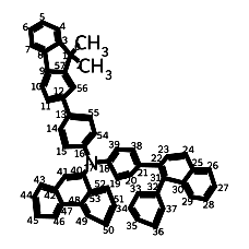 CC1(C)c2ccccc2-c2ccc(-c3ccc(N(c4ccc(-c5ccc6ccccc6c5-c5ccccc5)cc4)c4cc5ccccc5c5ccccc45)cc3)cc21